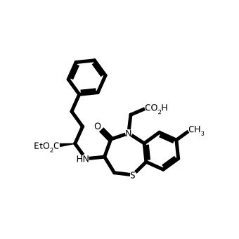 CCOC(=O)[C@@H](CCc1ccccc1)NC1CSc2ccc(C)cc2N(CC(=O)O)C1=O